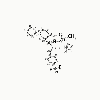 COC(=O)[C@H](Cn1cccc1)N(Cc1ccc(-c2ccccn2)cc1)C(=O)C=Cc1ccc(C(F)(F)F)cc1